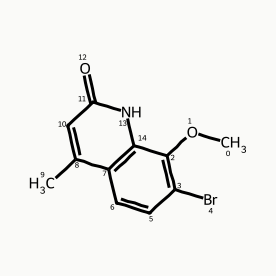 COc1c(Br)ccc2c(C)cc(=O)[nH]c12